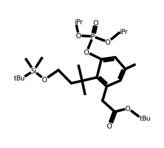 Cc1cc(CC(=O)OC(C)(C)C)c(C(C)(C)CCO[Si](C)(C)C(C)(C)C)c(OP(=O)(OC(C)C)OC(C)C)c1